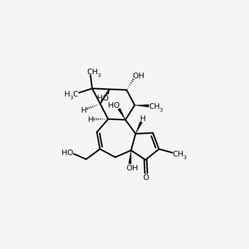 CC1=C[C@H]2[C@@]3(O)[C@H](C)[C@@H](O)[C@]4(O)[C@@H]([C@@H]3C=C(CO)C[C@@]2(O)C1=O)C4(C)C